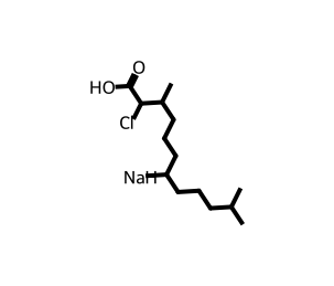 CC(C)CCCC(C)CCCC(C)C(Cl)C(=O)O.[NaH]